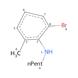 CCCCCNc1c(C)cccc1Br